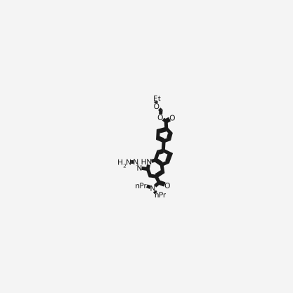 CCCN(CCC)C(=O)C1=Cc2ccc(-c3ccc(C(=O)OCOCC)cc3)cc2NC(N=NN)C1